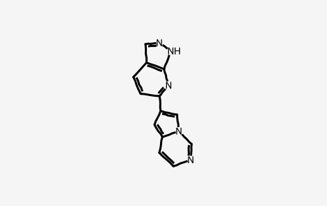 c1cc2cc(-c3ccc4cn[nH]c4n3)cn2cn1